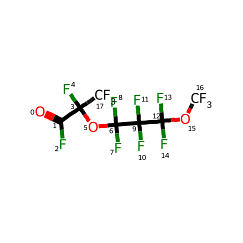 O=C(F)C(F)(OC(F)(F)C(F)(F)C(F)(F)OC(F)(F)F)C(F)(F)F